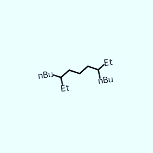 CCCCC(CC)CCCC(CC)CCCC